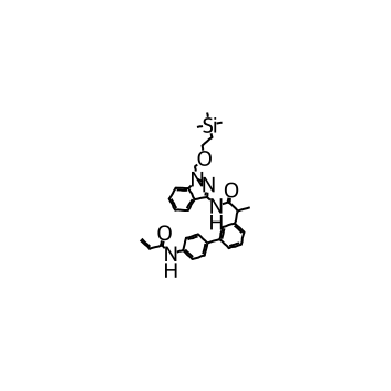 C=CC(=O)Nc1ccc(-c2cccc(C(C)C(=O)Nc3nn(COCC[Si](C)(C)C)c4ccccc34)c2)cc1